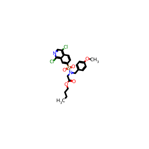 CCCCOC(=O)CN(Cc1ccc(OC)cc1)S(=O)(=O)c1ccc2c(Cl)cnc(Cl)c2c1